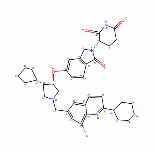 O=C1CC[C@H](N2Cc3cc(O[C@H]4CN(Cc5cc(F)c6nc(C7CCOCC7)ccc6c5)C[C@@H]4C4CCCC4)ccc3C2=O)C(=O)N1